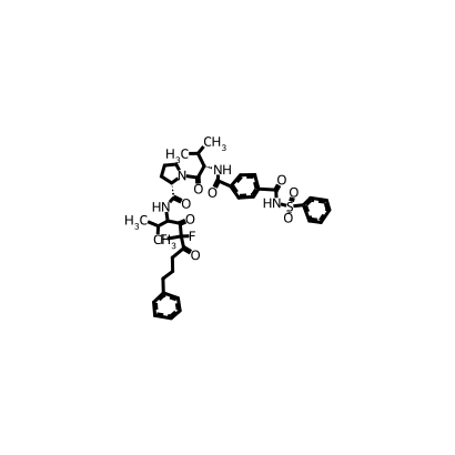 CC(C)C(NC(=O)[C@@H]1CCCN1C(=O)[C@@H](NC(=O)c1ccc(C(=O)NS(=O)(=O)c2ccccc2)cc1)C(C)C)C(=O)C(F)(F)C(=O)CCCc1ccccc1